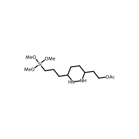 CO[Si](CCCC1CCC(CCOC(C)=O)NN1)(OC)OC